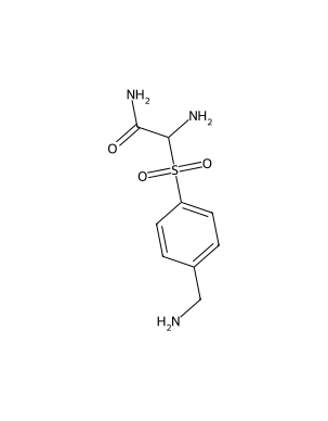 NCc1ccc(S(=O)(=O)C(N)C(N)=O)cc1